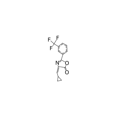 O=C1OC(c2cccc(C(F)(F)F)c2)=N/C1=C/C1CC1